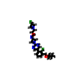 CC(C)(C)[Si](C)(C)OCc1cccc(-c2cnc(N3CC(=NOCCN4CC(F)C4)C3)nc2)c1F